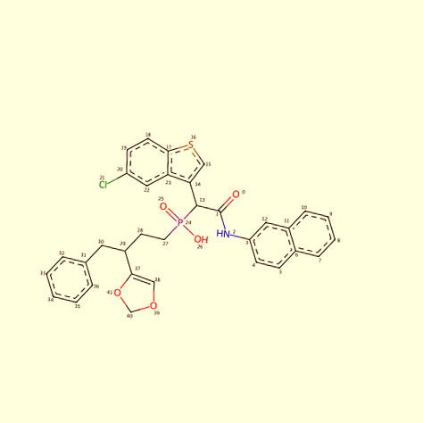 O=C(Nc1ccc2ccccc2c1)C(c1csc2ccc(Cl)cc12)P(=O)(O)CCC(Cc1ccccc1)C1=COCO1